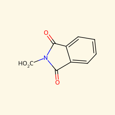 O=C(O)N1C(=O)c2ccccc2C1=O